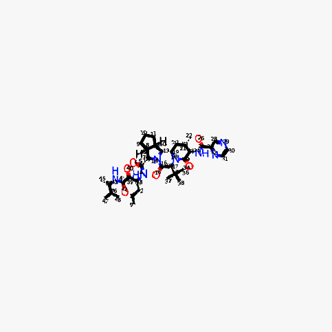 CCC[C@H](NC(=O)[C@@H]1[C@H]2CCC[C@H]2CN1C(=O)[C@@H](N1CC[C@H](C)[C@H](NC(=O)c2cnccn2)C1=O)C(C)(C)C)C(=O)C(=O)N[C@@H](C)C(C)C